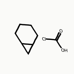 C1CCC2CC2C1.O=C(O)Cl